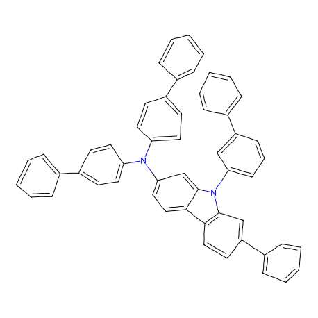 c1ccc(-c2ccc(N(c3ccc(-c4ccccc4)cc3)c3ccc4c5ccc(-c6ccccc6)cc5n(-c5cccc(-c6ccccc6)c5)c4c3)cc2)cc1